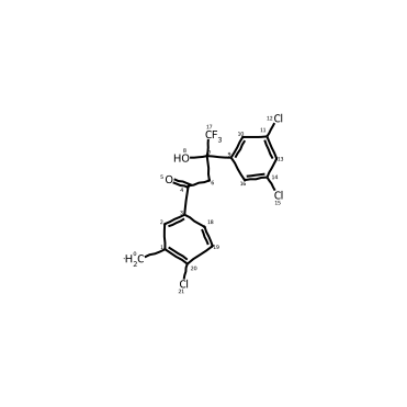 [CH2]c1cc(C(=O)CC(O)(c2cc(Cl)cc(Cl)c2)C(F)(F)F)ccc1Cl